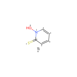 On1ccccc1=S.[Ti]